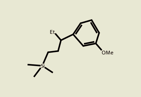 CCC(CC[Si](C)(C)C)c1cccc(OC)c1